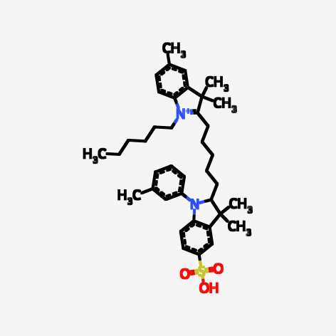 CCCCCC[N+]1=C(CCCCCC2N(c3cccc(C)c3)c3ccc(S(=O)(=O)O)cc3C2(C)C)C(C)(C)c2cc(C)ccc21